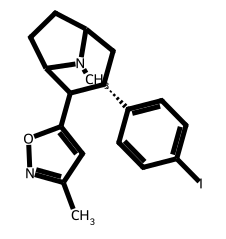 Cc1cc(C2C3CCC(C[C@@H]2c2ccc(I)cc2)N3C)on1